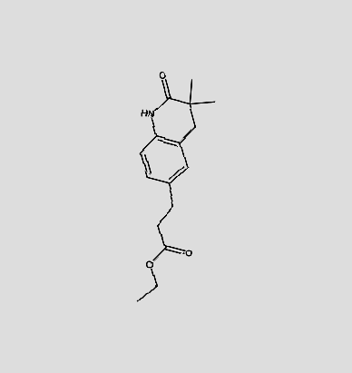 CCOC(=O)CCc1ccc2c(c1)CC(C)(C)C(=O)N2